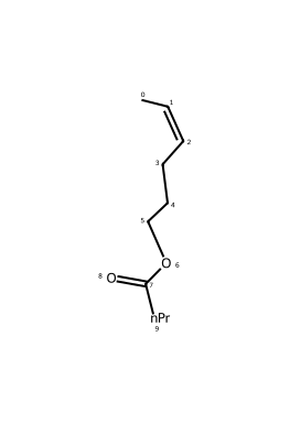 C/C=C\CCCOC(=O)CCC